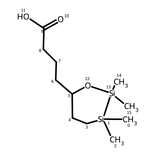 C[Si]1(C)CCC(CCCC(=O)O)O[Si]1(C)C